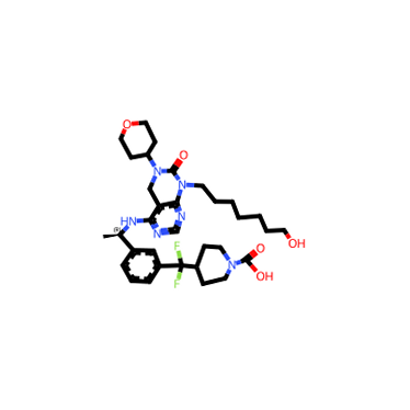 C[C@@H](Nc1ncnc2c1CN(C1CCOCC1)C(=O)N2CCCCCCCO)c1cccc(C(F)(F)C2CCN(C(=O)O)CC2)c1